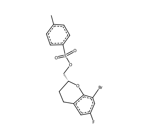 Cc1ccc(S(=O)(=O)OC[C@H]2CCc3cc(F)cc(Br)c3O2)cc1